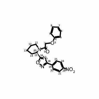 O=C(COc1ccccc1)N1CCCC[C@@H]1c1nc(-c2ccc([N+](=O)[O-])cc2)no1